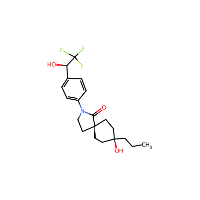 CCC[C@]1(O)CC[C@]2(CCN(c3ccc([C@@H](O)C(F)(F)F)cc3)C2=O)CC1